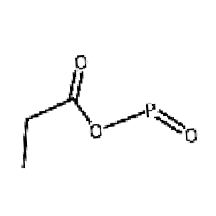 CCC(=O)OP=O